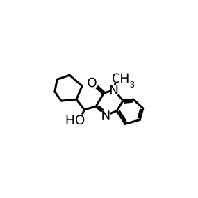 Cn1c(=O)c(C(O)C2CCCCC2)nc2ccccc21